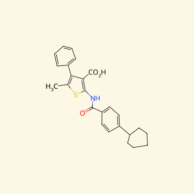 Cc1sc(NC(=O)c2ccc(C3CCCCC3)cc2)c(C(=O)O)c1-c1ccccc1